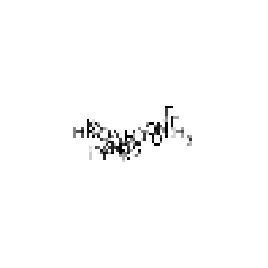 CC(C)Oc1cc2[nH]ncc2cc1Nc1ncnc2sc3c(c12)CCC(OC(=O)N(C)CC(F)F)C3